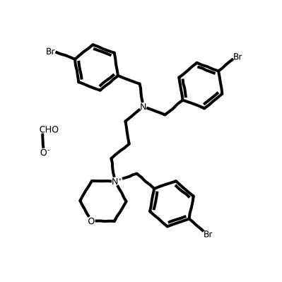 Brc1ccc(CN(CCC[N+]2(Cc3ccc(Br)cc3)CCOCC2)Cc2ccc(Br)cc2)cc1.O=C[O-]